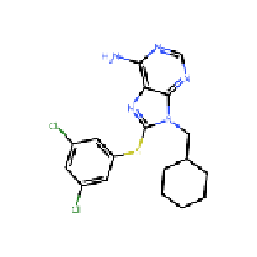 Nc1ncnc2c1nc(Sc1cc(Cl)cc(Cl)c1)n2CC1CCCCC1